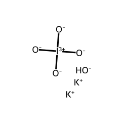 [K+].[K+].[O-][I+3]([O-])([O-])[O-].[OH-]